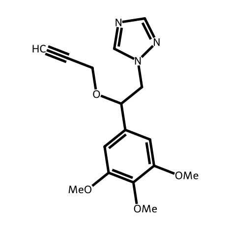 C#CCOC(Cn1cncn1)c1cc(OC)c(OC)c(OC)c1